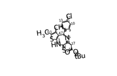 Cc1sc2c(c1C)C(c1ccc(Cl)cc1)=N[C@@H](CC(=O)OC(C)(C)C)C(=S)N2